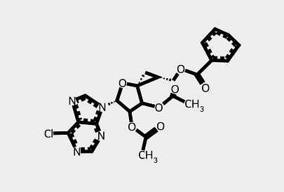 CC(=O)OC1C(OC(C)=O)[C@@]2(C[C@@H]2COC(=O)c2ccccc2)O[C@H]1n1cnc2c(Cl)ncnc21